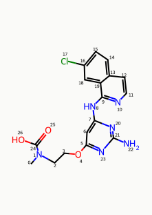 CN(CCOc1cc(Nc2nccc3ccc(Cl)cc23)nc(N)n1)C(=O)O